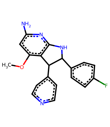 COc1cc(N)nc2c1C(c1ccncc1)C(c1ccc(F)cc1)N2